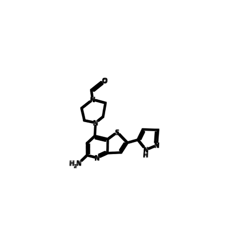 Nc1cc(N2CCN(C=O)CC2)c2sc(-c3ccn[nH]3)cc2n1